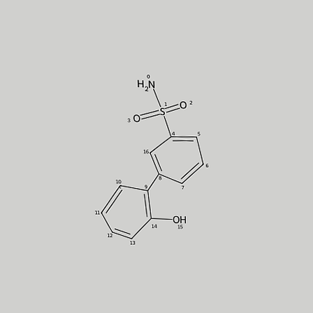 NS(=O)(=O)c1cccc(-c2[c]cccc2O)c1